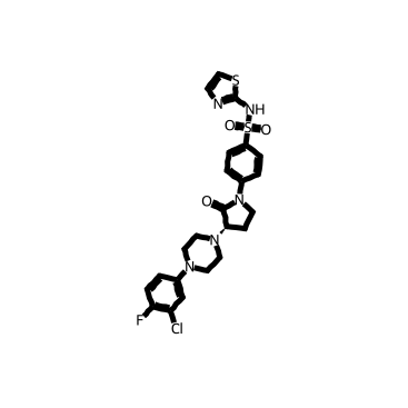 O=C1[C@@H](N2CCN(c3ccc(F)c(Cl)c3)CC2)CCN1c1ccc(S(=O)(=O)Nc2nccs2)cc1